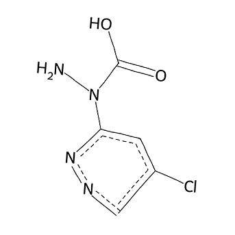 NN(C(=O)O)c1cc(Cl)cnn1